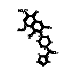 CNn1cc(C(=O)O)c(=O)c2cc(F)c(N3CCN(C(=O)c4cccs4)CC3)c(O)c21